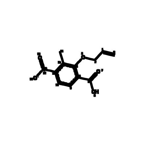 C=CCOc1c(C(=O)O)ccc([N+](=O)[O-])c1C